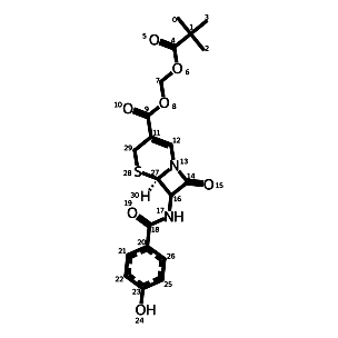 CC(C)(C)C(=O)OCOC(=O)C1=CN2C(=O)C(NC(=O)c3ccc(O)cc3)[C@H]2SC1